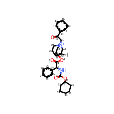 O=C(NC(C(=O)O[C@H]1C[N+]2(CC(=O)c3ccccc3)CCC1CC2)c1ccccc1)OC1CCCCC1